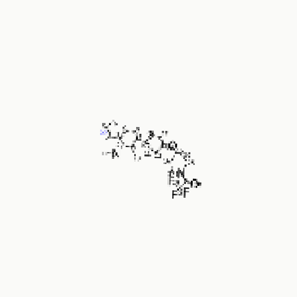 C=Nc1c(/C=C\C)ccc(-c2ccc(OC3CCN(C(=O)C(F)(F)F)CC3)cc2)c1C